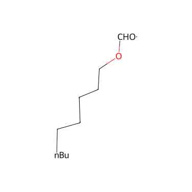 [CH2]CCCCCCCCO[C]=O